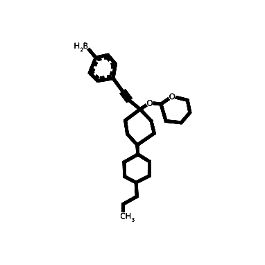 Bc1ccc(C#CC2(OC3CCCCO3)CCC(C3CCC(CCC)CC3)CC2)cc1